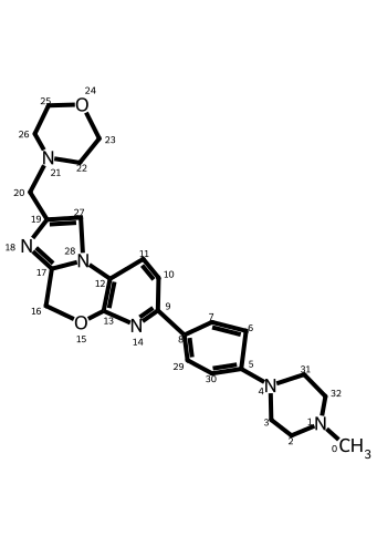 CN1CCN(c2ccc(-c3ccc4c(n3)OCc3nc(CN5CCOCC5)cn3-4)cc2)CC1